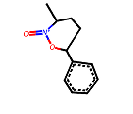 CC1CCC(c2ccccc2)O[N+]1=O